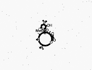 CO[C@]1(C)C[C@@H](C)CN(C)CCC(N(C)C)CCCOC(=O)C(C)(C)C(=O)[C@H](C)[C@H]1O[C@@H]1O[C@H](C)C[C@H](N(C)C)[C@H]1O